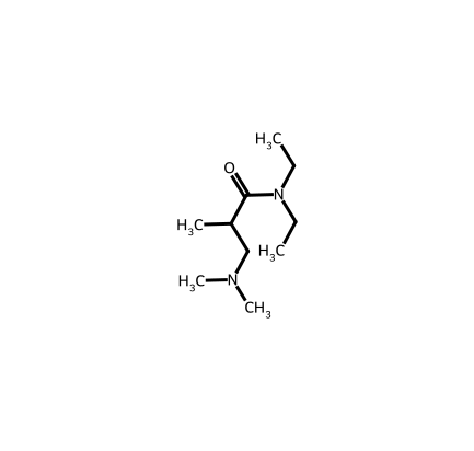 CCN(CC)C(=O)C(C)CN(C)C